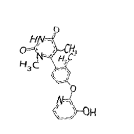 Cc1cc(Oc2ncccc2O)ccc1-c1c(C)c(=O)[nH]c(=O)n1C